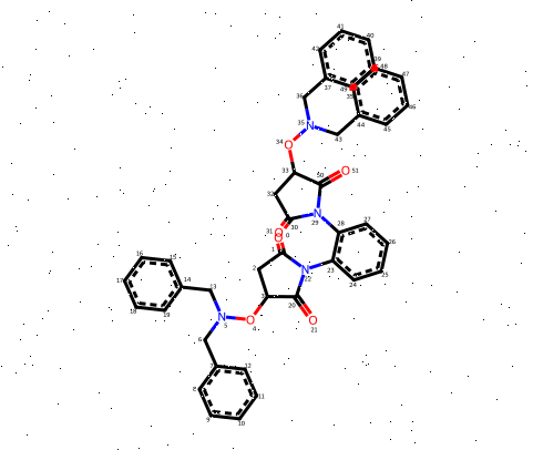 O=C1CC(ON(Cc2ccccc2)Cc2ccccc2)C(=O)N1c1ccccc1N1C(=O)CC(ON(Cc2ccccc2)Cc2ccccc2)C1=O